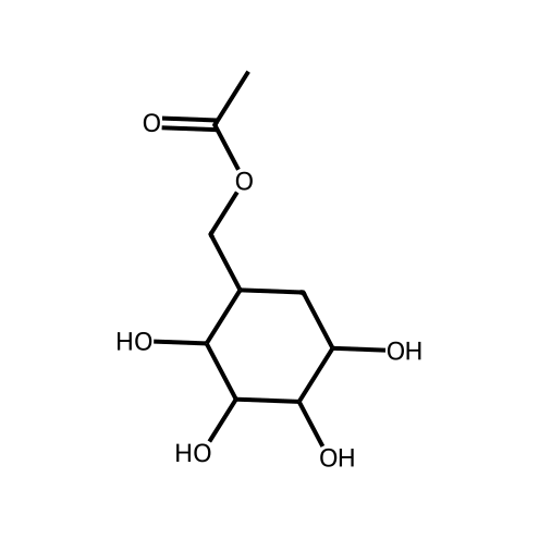 CC(=O)OCC1CC(O)C(O)C(O)C1O